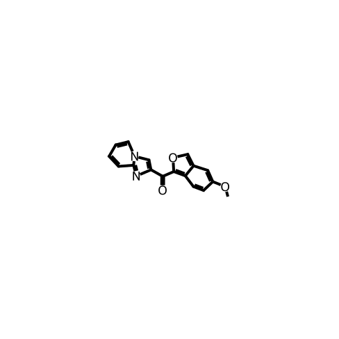 COc1ccc2c(C(=O)c3cn4ccccc4n3)occ2c1